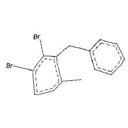 Cc1ccc(Br)c(Br)c1Cc1ccccc1